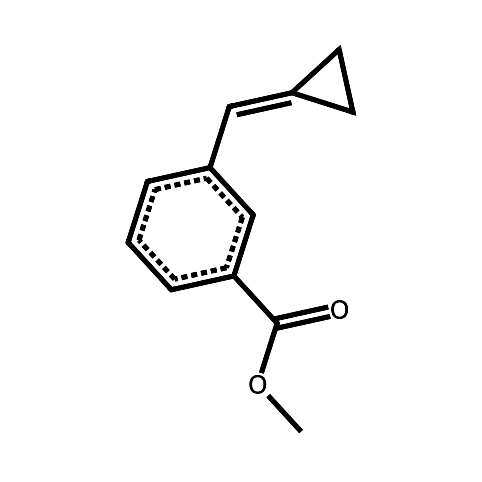 COC(=O)c1cccc(C=C2CC2)c1